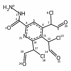 NNC(=O)c1cc(C(Cl)C=O)c(C(Cl)C=O)c(C(Cl)C=O)n1